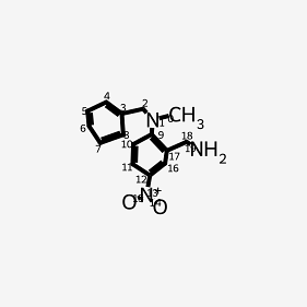 CN(Cc1ccccc1)c1ccc([N+](=O)[O-])cc1CN